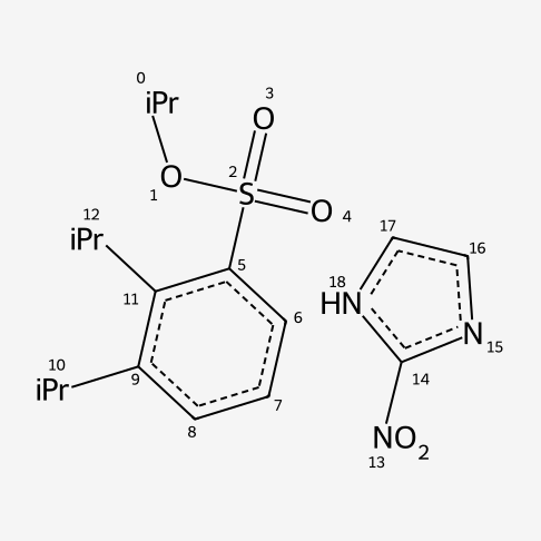 CC(C)OS(=O)(=O)c1cccc(C(C)C)c1C(C)C.O=[N+]([O-])c1ncc[nH]1